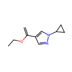 C=C(OCC)c1cnn(C2CC2)c1